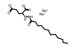 CCCCCCCCCCCC(=O)NNC(CCC(=O)[O-])C(=O)[O-].[Na+].[Na+]